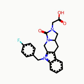 O=C(O)CN1CC2Cc3c(n(Cc4ccc(F)cc4)c4ccccc34)CN2C1=O